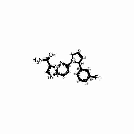 NC(=O)c1cnc2ccc(N3CC=CC3c3cccc(F)c3)nn12